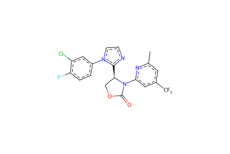 Cc1cc(C(F)(F)F)cc(N2C(=O)OC[C@H]2c2nccn2-c2ccc(F)c(Cl)c2)n1